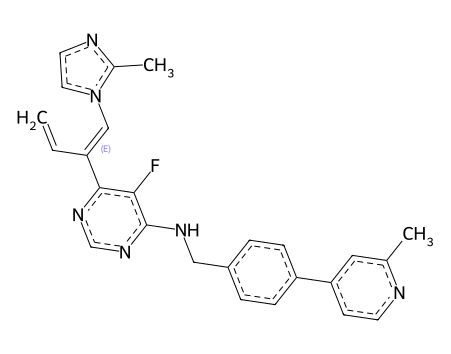 C=C/C(=C\n1ccnc1C)c1ncnc(NCc2ccc(-c3ccnc(C)c3)cc2)c1F